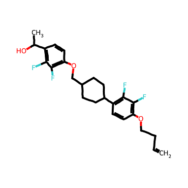 C=CCCOc1ccc(C2CCC(COc3ccc(C(C)O)c(F)c3F)CC2)c(F)c1F